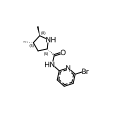 C[C@H]1C[C@@H](C(=O)Nc2cccc(Br)n2)N[C@@H]1C